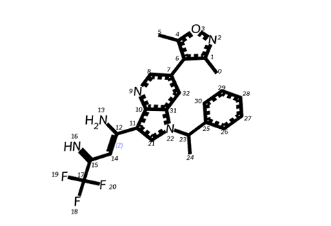 Cc1noc(C)c1-c1cnc2c(/C(N)=C/C(=N)C(F)(F)F)cn(C(C)c3ccccc3)c2c1